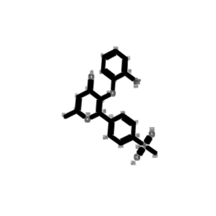 Cc1cc(=O)c(Oc2ccccc2Br)c(-c2ccc(S(C)(=O)=O)cc2)o1